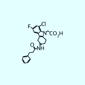 O=C(O)Cn1c2c(c3cc(F)cc(Cl)c31)C[C@H](NC(=O)CCc1ccccc1)CC2